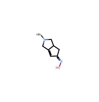 CCCCN1CC2=CC(=NO)CC2C1